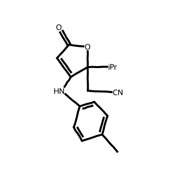 Cc1ccc(NC2=CC(=O)OC2(CC#N)C(C)C)cc1